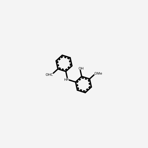 COc1cccc(Pc2ccccc2C=O)c1O